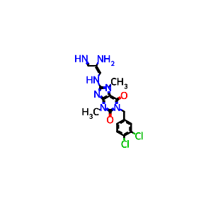 Cn1c(N/C=C(/N)C=N)nc2c1c(=O)n(Cc1ccc(Cl)c(Cl)c1)c(=O)n2C